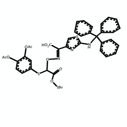 CC(=O)Oc1ccc(SC(ON=C(C(=O)O)c2csc(NC(c3ccccc3)(c3ccccc3)c3ccccc3)n2)C(=O)OC(C)(C)C)cc1OC(C)=O